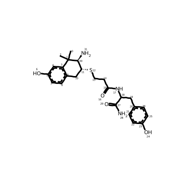 CC1(C)c2cc(O)ccc2C[C@@H](SCCC(=O)NC(Cc2ccc(O)cc2)C(N)=O)[C@@H]1N